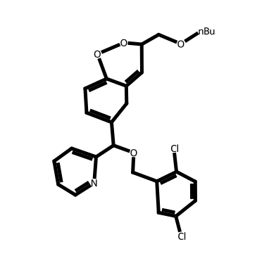 CCCCOCC1C=C2CC(C(OCc3cc(Cl)ccc3Cl)c3ccccn3)=CC=C2OO1